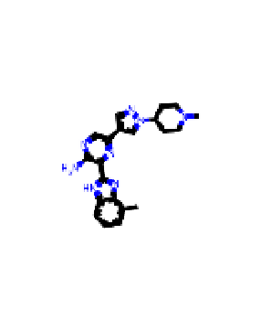 Cc1cccc2[nH]c(-c3nc(-c4cnn(C5CCN(C)CC5)c4)cnc3N)nc12